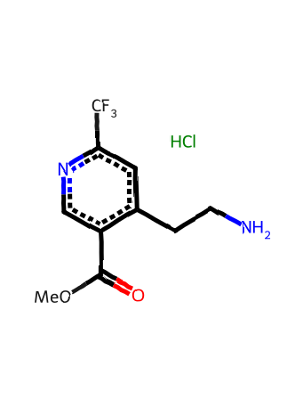 COC(=O)c1cnc(C(F)(F)F)cc1CCN.Cl